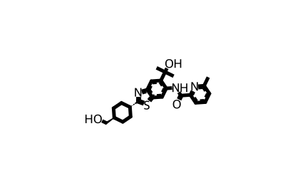 Cc1cccc(C(=O)Nc2cc3sc([C@H]4CC[C@H](CO)CC4)nc3cc2C(C)(C)O)n1